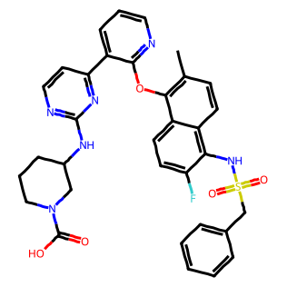 Cc1ccc2c(NS(=O)(=O)Cc3ccccc3)c(F)ccc2c1Oc1ncccc1-c1ccnc(NC2CCCN(C(=O)O)C2)n1